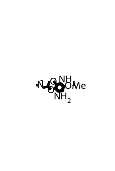 COc1cc(N)c2c(c1N)OCC(CN(C)C)O2